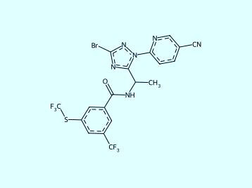 CC(NC(=O)c1cc(SC(F)(F)F)cc(C(F)(F)F)c1)c1nc(Br)nn1-c1ccc(C#N)cn1